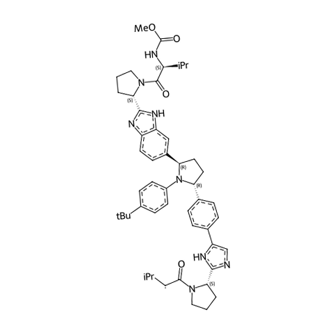 COC(=O)N[C@H](C(=O)N1CCC[C@H]1c1nc2ccc([C@H]3CC[C@H](c4ccc(-c5cnc([C@@H]6CCCN6C(=O)[CH]C(C)C)[nH]5)cc4)N3c3ccc(C(C)(C)C)cc3)cc2[nH]1)C(C)C